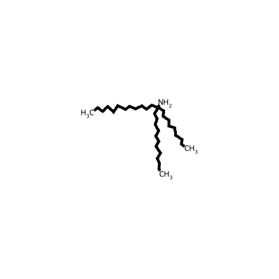 CCCCCCCCCCCCC(N)(CCCCCCCCC)CCCCCCCCCCCC